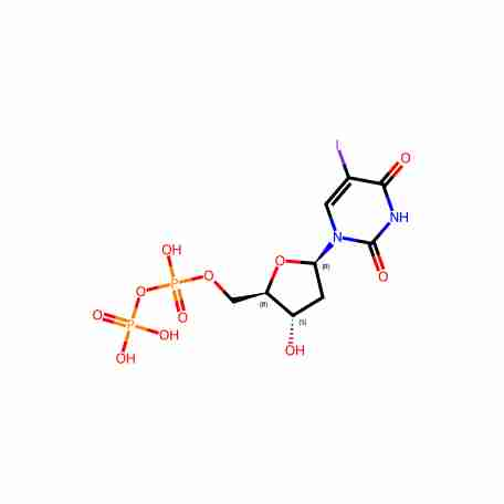 O=c1[nH]c(=O)n([C@H]2C[C@H](O)[C@@H](COP(=O)(O)OP(=O)(O)O)O2)cc1I